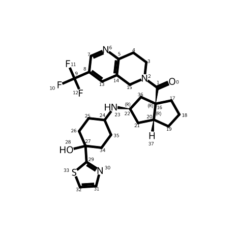 O=C(N1CCc2ncc(C(F)(F)F)cc2C1)[C@@]12CCC[C@@H]1C[C@@H](NC1CCC(O)(c3nccs3)CC1)C2